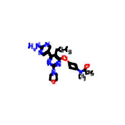 CCc1c(O[C@H]2C[C@H](N(C)C(C)=O)C2)nc(N2CCOCC2)nc1-c1cnc(N)nc1